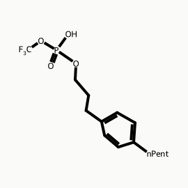 CCCCCc1ccc(CCCOP(=O)(O)OC(F)(F)F)cc1